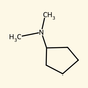 CN(C)C1C[CH]CC1